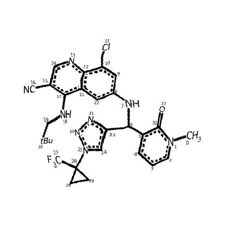 Cn1cccc(C(Nc2cc(Cl)c3ncc(C#N)c(NCC(C)(C)C)c3c2)c2cn(C3(C(F)(F)F)CC3)nn2)c1=O